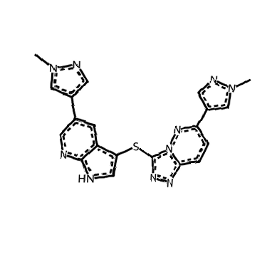 Cn1cc(-c2cnc3[nH]cc(Sc4nnc5ccc(-c6cnn(C)c6)nn45)c3c2)cn1